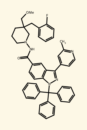 COCC1(Cc2ccccc2F)CCCN(NC(=O)c2ccc3c(c2)c(-c2ccnc(C)c2)nn3C(c2ccccc2)(c2ccccc2)c2ccccc2)C1